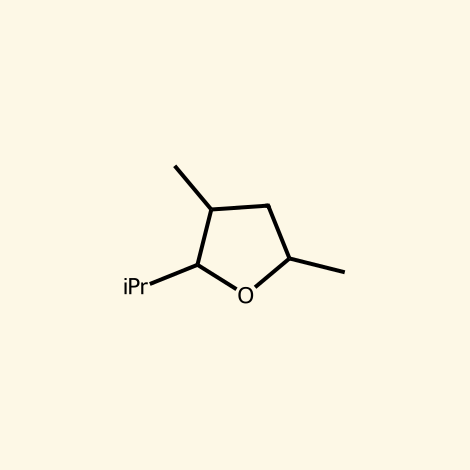 CC1CC(C)C(C(C)C)O1